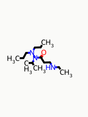 CCCN(CCC)N(C(=O)CCNCC)C(C)C